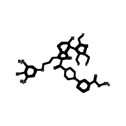 COC(=O)c1cccc(N2CCN(C(=O)c3[nH]c4c(-c5c(CF)nn(CF)c5CF)c(Cl)ccc4c3CCCOc3cc(C)c(Cl)c(C)c3)CC2)c1